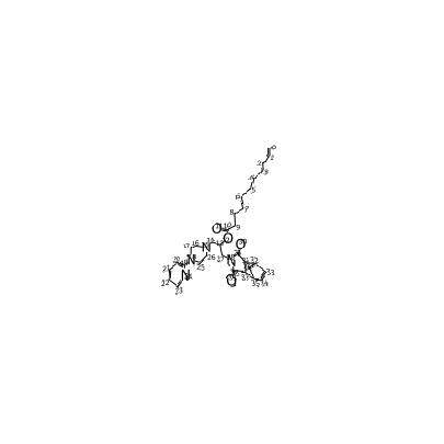 C=CCCCCCCCCC(=O)OC(CN1CCN(c2ccccn2)CC1)CN1C(=O)C2C3C=CC(C3)C2C1=O